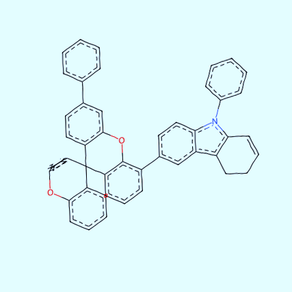 C1=Cc2c(c3cc(-c4cccc5c4Oc4cc(-c6ccccc6)ccc4C54c5ccccc5Oc5ccccc54)ccc3n2-c2ccccc2)CC1